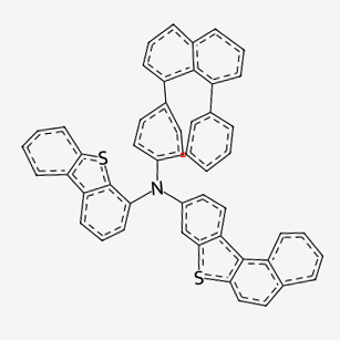 c1ccc(-c2cccc3cccc(-c4ccc(N(c5ccc6c(c5)sc5ccc7ccccc7c56)c5cccc6c5sc5ccccc56)cc4)c23)cc1